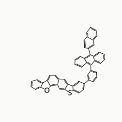 c1cc(-c2ccc3sc4cc5c(ccc6c7ccccc7oc56)cc4c3c2)cc(-c2c3ccccc3c(-c3ccc4ccccc4c3)c3ccccc23)c1